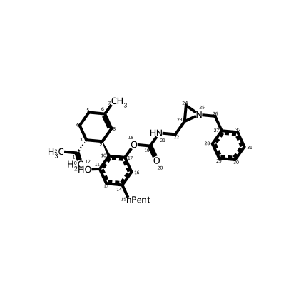 C=C(C)[C@@H]1CCC(C)=C[C@H]1c1c(O)cc(CCCCC)cc1OC(=O)NCC1CN1Cc1ccccc1